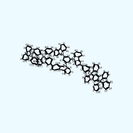 c1ccc([Si](c2ccccc2)(c2ccccc2)c2ccc([Si](c3ccccc3)(c3ccccc3)c3ccc(-c4ccc5c(c4)c4ccccc4n5-c4cc(-n5c6ccccc6c6ccccc65)cc(-n5c6ccccc6c6ccc(-c7ccc([Si](c8ccccc8)(c8ccccc8)c8cccc([Si](c9ccccc9)(c9ccccc9)c9ccccc9)c8)cc7)cc65)c4)cc3)cc2)cc1